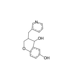 Oc1ccc2c(c1)C(O)C(Cc1cccnc1)CO2